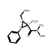 COC[C@@H]1[C@H](c2ccccc2)[C@]1(C(=O)O)C(=O)N(C)OC